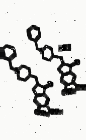 COc1cc2c(cc1OC)C(=O)C(CC1CCN(Cc3ccccc3)CC1)C2.COc1cc2c(cc1OC)C(=O)C(CC1CCN(Cc3ccccc3)CC1)C2.Cl